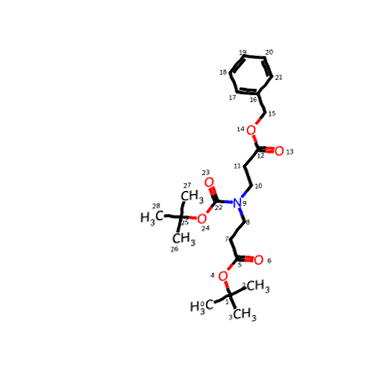 CC(C)(C)OC(=O)CCN(CCC(=O)OCc1ccccc1)C(=O)OC(C)(C)C